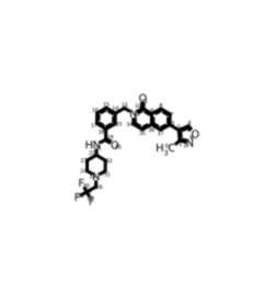 Cc1nocc1-c1ccc2c(=O)n(Cc3cccc(C(=O)NC4CCN(CC(F)(F)F)CC4)c3)ccc2c1